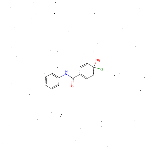 O=C(Nc1ccccc1)C1=CCC(O)(Cl)C=C1